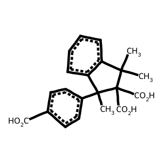 CC1(C)c2ccccc2C(C)(c2ccc(C(=O)O)cc2)C1(C(=O)O)C(=O)O